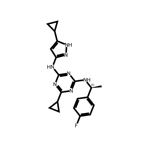 C[C@H](Nc1nc(Nc2cc(C3CC3)[nH]n2)nc(C2CC2)n1)c1ccc(F)cc1